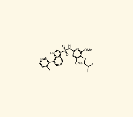 COc1nc(NS(=O)(=O)c2c[nH]c3c(-c4nnccc4C)cccc23)nc(OC)c1OCC(F)F